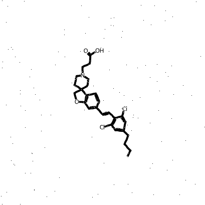 CCCCc1cc(Cl)c(/C=C/c2ccc3c(c2)OCC32CCN(CCC(=O)O)CC2)c(Cl)c1